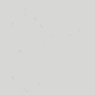 COc1cc(F)ccc1Oc1nnc(C(F)(F)F)cc1C(=O)Nc1ccnc(C(N)=O)c1